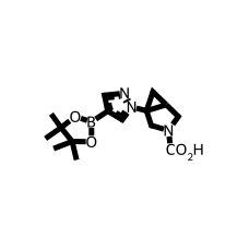 CC1(C)OB(c2cnn(C34CC3CN(C(=O)O)C4)c2)OC1(C)C